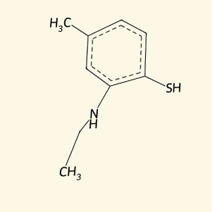 CCNc1cc(C)ccc1S